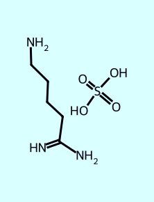 N=C(N)CCCCN.O=S(=O)(O)O